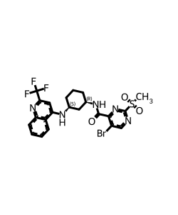 CS(=O)(=O)c1ncc(Br)c(C(=O)N[C@@H]2CCC[C@H](Nc3cc(C(F)(F)F)nc4ccccc34)C2)n1